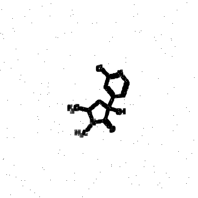 CN1C(=O)C(O)(c2ccnc(Cl)c2)CC1C(F)(F)F